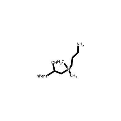 CCCCCC(O)C[N+](C)(C)CCCN